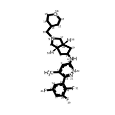 Cc1cc(NC2C[C@@H]3CN(CC4CCOCC4)C[C@@H]3C2)nnc1-c1cc(F)cc(F)c1F